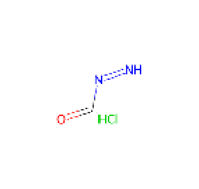 Cl.N=NC=O